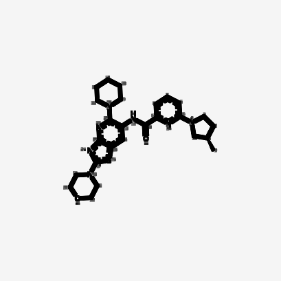 C[C@@H]1CCN(c2cccc(C(=O)Nc3cc4sc(N5CCOCC5)nc4nc3N3CCCCC3)n2)C1